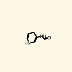 O=CNC1=CNC=CC1